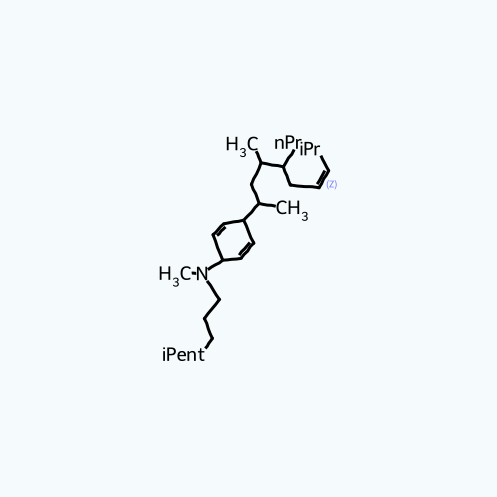 CCCC(C)CCCN(C)C1C=CC(C(C)CC(C)C(C/C=C\C(C)C)CCC)C=C1